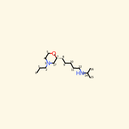 CCCN1CCO[C@H](CCCCCNC(C)C)C1